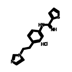 Cl.N=C(Nc1ccc(CCn2ccnc2)cc1)c1cccs1